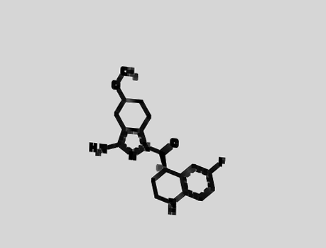 COC1CCc2c(c(N)nn2C(=O)[C@@H]2CCNc3ccc(F)cc32)C1